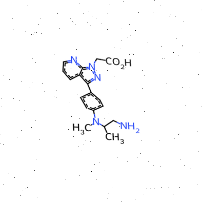 CC(CN)N(C)c1ccc(-c2nn(CC(=O)O)c3ncccc23)cc1